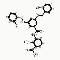 Cc1c(NC(=O)c2cc(OCc3ccccc3Cl)cc(OCc3ccccc3Cl)c2)cccc1C(=O)O